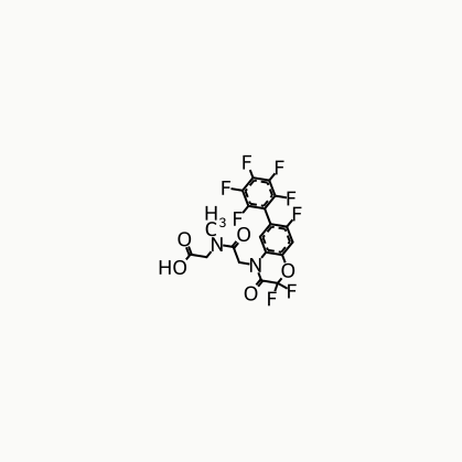 CN(CC(=O)O)C(=O)CN1C(=O)C(F)(F)Oc2cc(F)c(-c3c(F)c(F)c(F)c(F)c3F)cc21